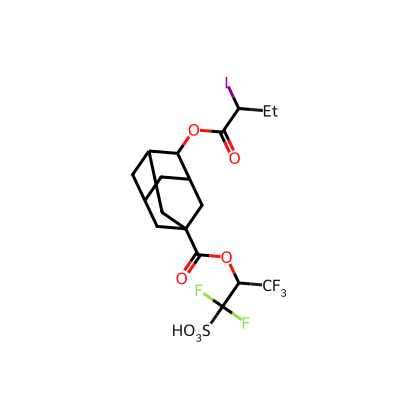 CCC(I)C(=O)OC1C2CC3CC1CC(C(=O)OC(C(F)(F)F)C(F)(F)S(=O)(=O)O)(C3)C2